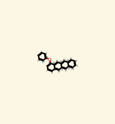 c1ccc(Oc2cccc3cc4cc5ccccc5cc4cc23)cc1